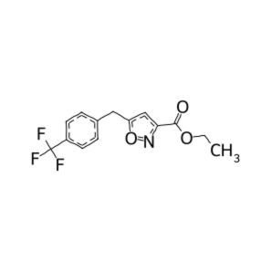 CCOC(=O)c1cc(Cc2ccc(C(F)(F)F)cc2)on1